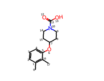 Cc1cccc(OC2CCN(C(=O)O)CC2)c1C